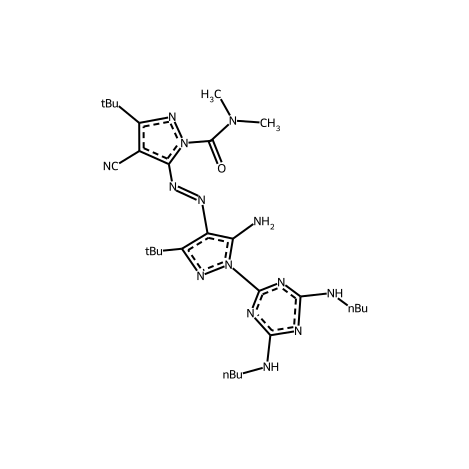 CCCCNc1nc(NCCCC)nc(-n2nc(C(C)(C)C)c(/N=N/c3c(C#N)c(C(C)(C)C)nn3C(=O)N(C)C)c2N)n1